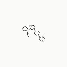 CC(C)Oc1ccccc1[C@@H]1CN(C2CCC(N3CCOC[C@H]3C)CC2)CCN1